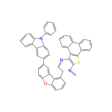 C=Nc1sc2c3ccccc3c3ccccc3c2c1/N=C\Cc1cccc2oc3ccc(-c4ccc5c(c4)c4ccccc4n5-c4ccccc4)cc3c12